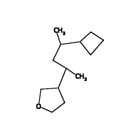 CC(CC(C)C1CCOC1)C1CCC1